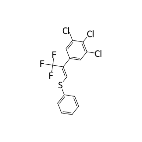 FC(F)(F)C(=CSc1ccccc1)c1cc(Cl)c(Cl)c(Cl)c1